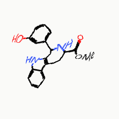 COC(=O)C1Cc2c([nH]c3ccccc23)C(c2cccc(O)c2)N1